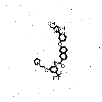 O=C(Nc1cc(OCCN2CCCC2)cc(C(F)(F)F)c1)c1ccc2ccc(Oc3ccnc(-c4nc(CO)c[nH]4)c3)cc2c1